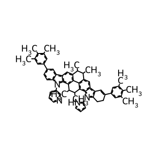 Cc1cc(C2=Cc3c(n(-c4ccc[nH]4)c4c5c6c(cc34)C(C)C(C)c3cc4c7cc(-c8cc(C)c(C)c(C)c8)ccc7n(-c7cccnc7)c4c(c3-6)C(C)C5C)CC2)cc(C)c1C